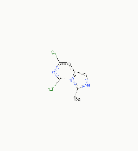 CC(C)(C)c1ncc2cc(Cl)nc(Cl)n12